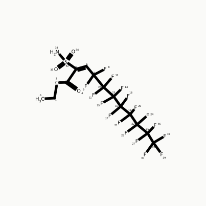 CCOC(=O)C(=CC(F)(F)C(F)(F)C(F)(F)C(F)(F)C(F)(F)C(F)(F)C(F)(F)C(F)(F)F)S(N)(=O)=O